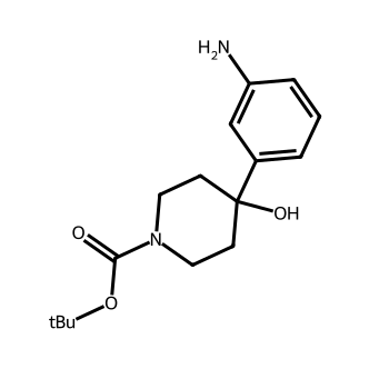 CC(C)(C)OC(=O)N1CCC(O)(c2cccc(N)c2)CC1